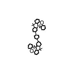 CC1(C)c2ccc(-c3ccc(-c4ccc5c(c4)N4c6ccccc6Oc6cccc(c64)C5(C)C)cc3)cc2N2c3ccccc3Oc3cccc1c32